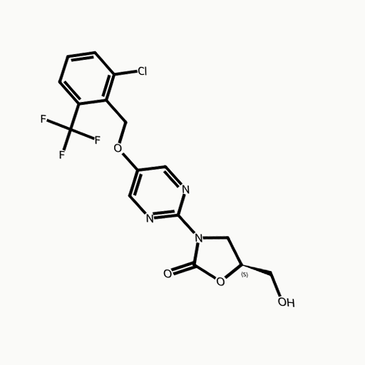 O=C1O[C@H](CO)CN1c1ncc(OCc2c(Cl)cccc2C(F)(F)F)cn1